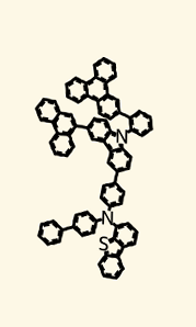 c1ccc(-c2ccc(N(c3ccc(-c4ccc5c(c4)c4cc(-c6cc7ccccc7c7ccccc67)ccc4n5-c4ccccc4-c4ccc5c6ccccc6c6ccccc6c5c4)cc3)c3cccc4c3sc3ccccc34)cc2)cc1